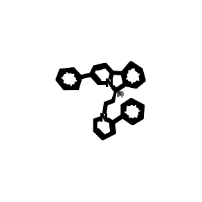 C1=CCN(CC[C@@H]2c3ccccc3C3C=CC(c4ccccc4)=CN32)C(c2ccccc2)=C1